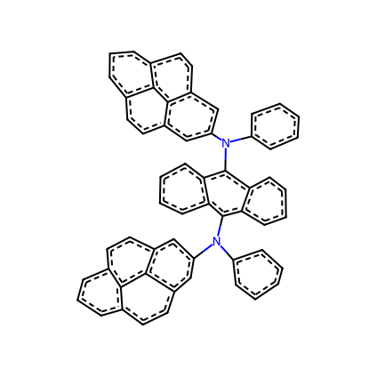 c1ccc(N(c2cc3ccc4cccc5ccc(c2)c3c45)c2c3ccccc3c(N(c3ccccc3)c3cc4ccc5cccc6ccc(c3)c4c56)c3ccccc23)cc1